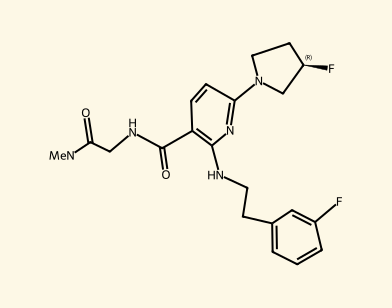 CNC(=O)CNC(=O)c1ccc(N2CC[C@@H](F)C2)nc1NCCc1cccc(F)c1